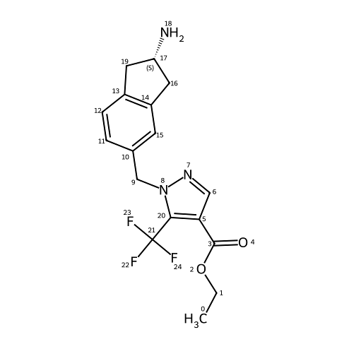 CCOC(=O)c1cnn(Cc2ccc3c(c2)C[C@@H](N)C3)c1C(F)(F)F